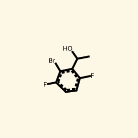 CC(O)c1c(F)ccc(F)c1Br